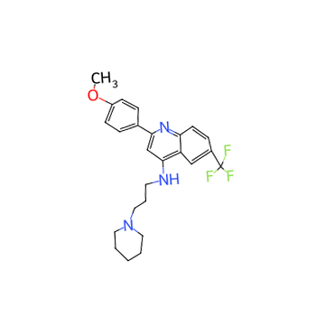 COc1ccc(-c2cc(NCCCN3CCCCC3)c3cc(C(F)(F)F)ccc3n2)cc1